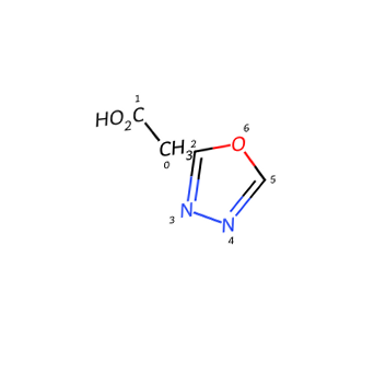 CC(=O)O.c1nnco1